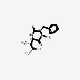 C[C@H]([C@@H]1NC(=O)[C@@H](Cc2ccccc2)N(C)C1=O)[C@@H](C)O